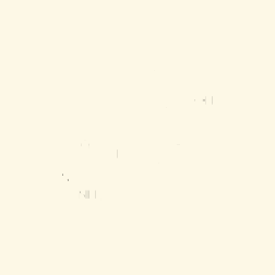 N.O=P([O-])(O)OP(=O)(O)O.[Na+]